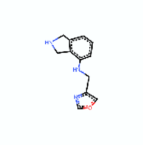 c1cc2c(c(NCc3cocn3)c1)CNC2